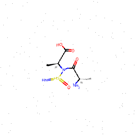 C[C@H](N)C(=O)N([C@@H](C)C(=O)O)[SH](=N)=O